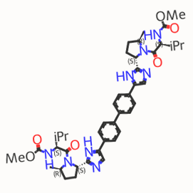 COC(=O)N[C@H](C(=O)N1[C@H](C)CC[C@H]1c1ncc(-c2ccc(-c3ccc(-c4cnc([C@@H]5CC[C@@H](C)N5C(=O)[C@@H](NC(=O)OC)C(C)C)[nH]4)cc3)cc2)[nH]1)C(C)C